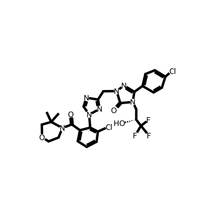 CC1(C)COCCN1C(=O)c1cccc(Cl)c1-n1cnc(Cn2nc(-c3ccc(Cl)cc3)n(C[C@@H](O)C(F)(F)F)c2=O)n1